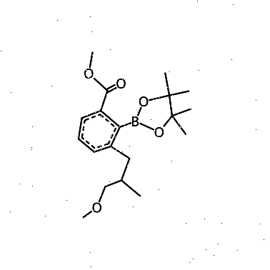 COCC(C)Cc1cccc(C(=O)OC)c1B1OC(C)(C)C(C)(C)O1